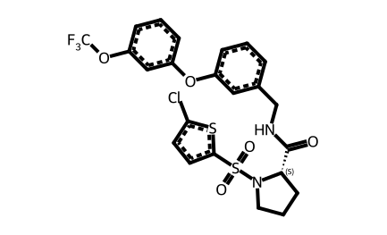 O=C(NCc1cccc(Oc2cccc(OC(F)(F)F)c2)c1)[C@@H]1CCCN1S(=O)(=O)c1ccc(Cl)s1